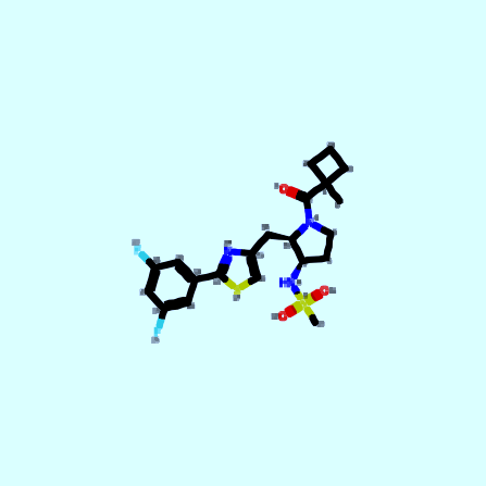 CC1(C(=O)N2CC[C@@H](NS(C)(=O)=O)[C@H]2Cc2csc(-c3cc(F)cc(F)c3)n2)CCC1